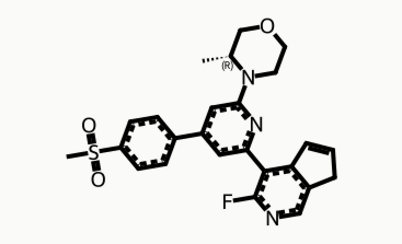 C[C@@H]1COCCN1c1cc(-c2ccc(S(C)(=O)=O)cc2)cc(-c2c(F)ncc3c2C=CC3)n1